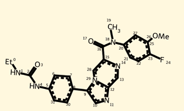 CCNC(=O)Nc1ccc(-c2cnc3cnc(C(=O)N(C)c4ccc(F)c(OC)c4)cn23)cc1